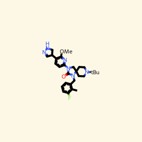 COc1nc(N2CC3(CCN(C(C)(C)C)CC3)N(Cc3cccc(F)c3C)C2=O)ccc1C1C=NNC1